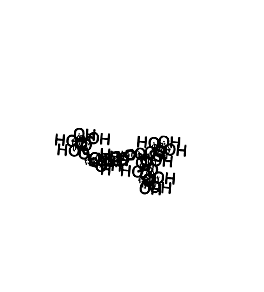 C[C@@H]1O[C@@H](O[C@H]2[C@H](O[C@H]3CC[C@@]4(C)C(=CC[C@H]5[C@@H]6C[C@@H]7O[C@]8(CC[C@@](C)(CO[C@@H]9O[C@H](CO)[C@@H](O)[C@H](O)[C@H]9O)O8)[C@@H](C)[C@@H]7[C@@]6(C)CC[C@@H]54)C3)O[C@H](CO)[C@@H](O[C@@H]3O[C@@H](C)[C@H](O)[C@@H](O)[C@H]3O)[C@@H]2O)[C@H](O)[C@H](O)[C@H]1O